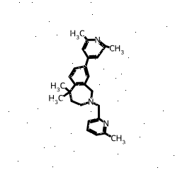 Cc1cc(-c2ccc3c(c2)CN(Cc2cccc(C)n2)CCC3(C)C)cc(C)n1